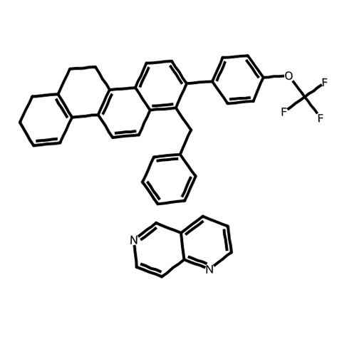 FC(F)(F)Oc1ccc(-c2ccc3c4c(ccc3c2Cc2ccccc2)C2=C(CCC=C2)CC4)cc1.c1cnc2ccncc2c1